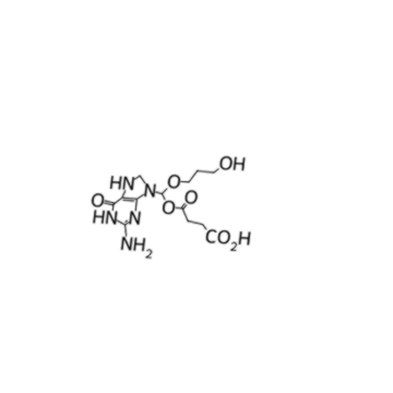 Nc1nc2c(c(=O)[nH]1)NCN2C(OCCCO)OC(=O)CCC(=O)O